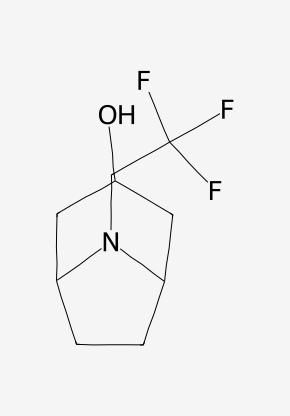 OC1CC2CCC(C1)N2CC(F)(F)F